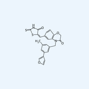 Cc1cc(CN2C(=O)COc3ccc(C=C4SC(=S)NC4=O)cc32)cc(-c2ccoc2)c1